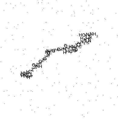 Nc1nc(O)c2nc(CNc3ccc(C(=O)N[C@@H](CCC(=O)NCCOCCOCc4cn(CCOCCOCCNC(=O)CCCC[C@@H]5SC[C@@H]6NC(=O)N[C@@H]65)nn4)C(=O)O)cc3)cnc2n1